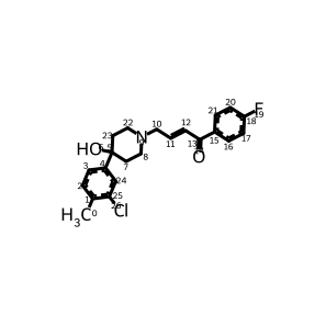 Cc1ccc(C2(O)CCN(CC=CC(=O)c3ccc(F)cc3)CC2)cc1Cl